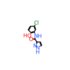 O=C(Nc1cc(Cl)ccc1O)c1cc[nH]n1